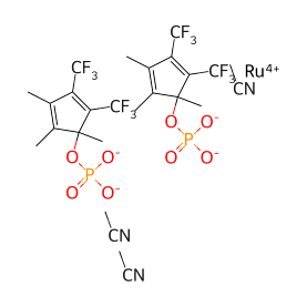 CC#N.CC#N.CC#N.CC1=C(C)C(C)(OP(=O)([O-])[O-])C(C(F)(F)F)=C1C(F)(F)F.CC1=C(C)C(C)(OP(=O)([O-])[O-])C(C(F)(F)F)=C1C(F)(F)F.[Ru+4]